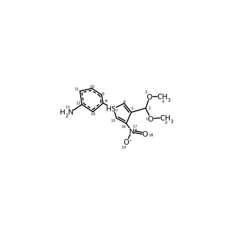 COC(OC)C1=C[SH](c2cccc(N)c2)C=C1[N+](=O)[O-]